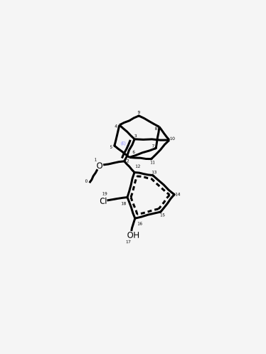 CO/C(=C1\C2CC3CC(C2)C1C3)c1cccc(O)c1Cl